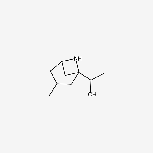 CC1CC2CC(C(C)O)(C1)N2